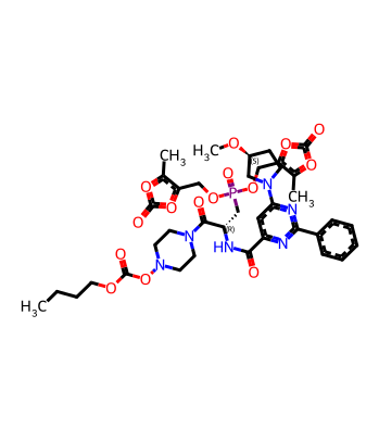 CCCCOC(=O)ON1CCN(C(=O)[C@H](CP(=O)(OCc2oc(=O)oc2C)OCc2oc(=O)oc2C)NC(=O)c2cc(N3CC[C@H](OC)C3)nc(-c3ccccc3)n2)CC1